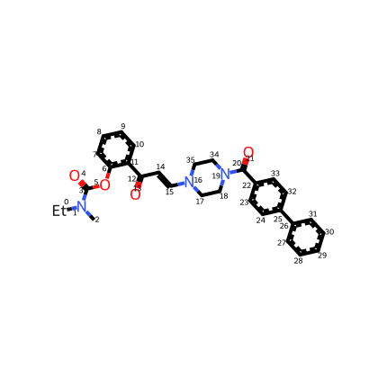 CCN(C)C(=O)Oc1ccccc1C(=O)C=CN1CCN(C(=O)c2ccc(-c3ccccc3)cc2)CC1